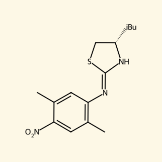 CCC(C)[C@H]1CSC(=Nc2cc(C)c([N+](=O)[O-])cc2C)N1